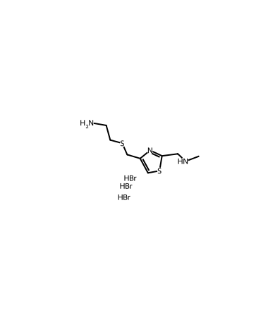 Br.Br.Br.CNCc1nc(CSCCN)cs1